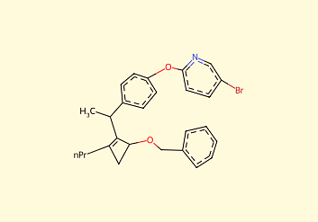 CCCC1=C(C(C)c2ccc(Oc3ccc(Br)cn3)cc2)C(OCc2ccccc2)C1